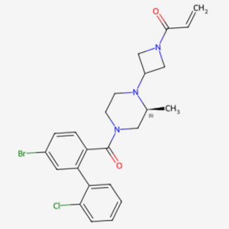 C=CC(=O)N1CC(N2CCN(C(=O)c3ccc(Br)cc3-c3ccccc3Cl)C[C@@H]2C)C1